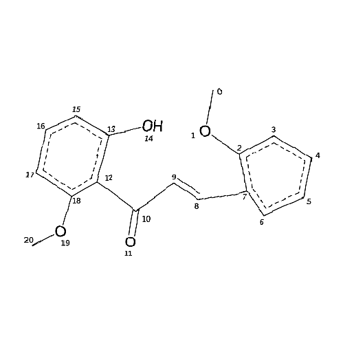 COc1ccccc1C=CC(=O)c1c(O)cccc1OC